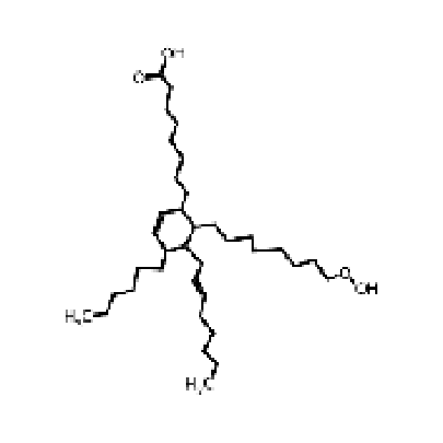 CCCCCC=CCC1C(CCCCCC)C=CC(CCCCCCCC(=O)O)C1CCCCCCCCOO